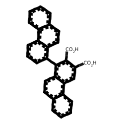 O=C(O)c1cc2c(ccc3ccccc32)c(-c2cccc3c2ccc2ccccc23)c1C(=O)O